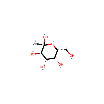 CC(=O)[C@@]1(O)O[C@H](CO)[C@H](O)[C@H](O)[C@H]1O